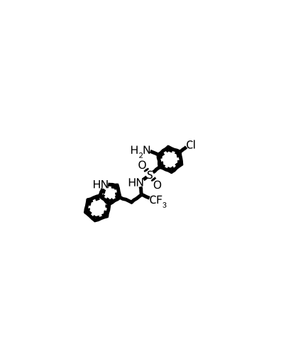 Nc1cc(Cl)ccc1S(=O)(=O)NC(Cc1c[nH]c2ccccc12)C(F)(F)F